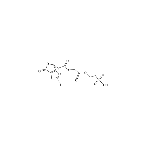 O=C(COC(=O)C1=C2OC(=O)C3=C2O[C@H]1C3)OCCS(=O)(=O)O